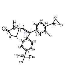 Cc1nc(/C(=C/[C@H]2CCC(=O)N2)c2ccc(C(C)(F)F)cc2)ccc1C1CC1